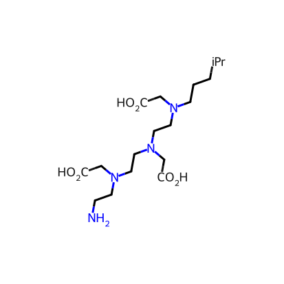 CC(C)CCCN(CCN(CCN(CCN)CC(=O)O)CC(=O)O)CC(=O)O